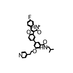 CNC(=O)c1c(-c2ccc(F)cc2)oc2ccc(-c3cc(OCCc4ccncc4)cc(C(=O)NCC(C)C)c3)cc12